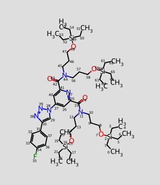 CC[Si](CC)(CC)OCCCN(CCCO[Si](CC)(CC)CC)C(=O)c1cc(-n2cc(-c3ccc(F)cc3)nn2)cc(C(=O)N(CCCO[Si](CC)(CC)CC)CCCO[Si](CC)(CC)CC)n1